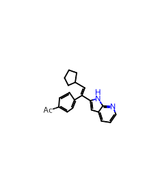 CC(=O)c1ccc(C(=CC2CCCC2)c2cc3cccnc3[nH]2)cc1